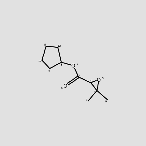 CC1(C)OC1C(=O)OC1CCCC1